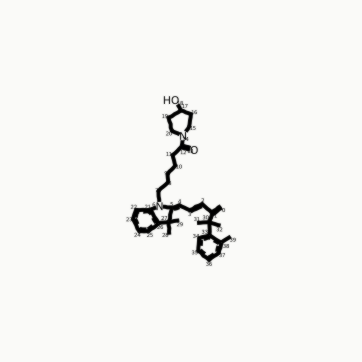 C=C(/C=C/C=C1/N(CCCCCC(=O)N2CCC(O)CC2)c2ccccc2C1(C)C)C(C)(C)c1ccccc1C